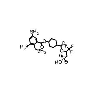 BCc1c(B)cc(B)cc1C(=O)OC1CCC(C(=O)OC(CS(=O)(=O)O)C(F)(F)F)CC1